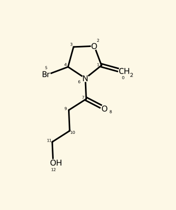 C=C1OCC(Br)N1C(=O)CCCO